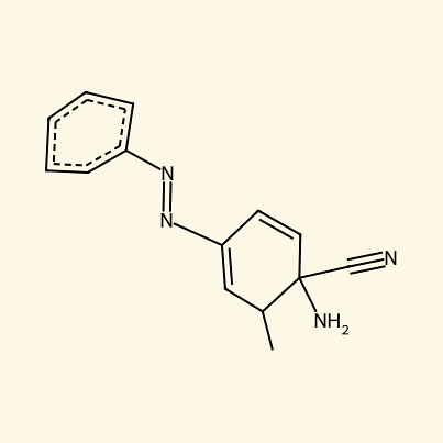 CC1C=C(N=Nc2ccccc2)C=CC1(N)C#N